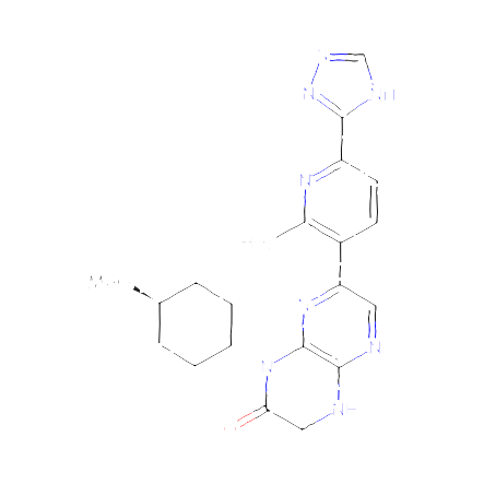 CO[C@H]1CC[C@H](N2C(=O)CNc3ncc(-c4ccc(-c5nnc[nH]5)nc4C)nc32)CC1